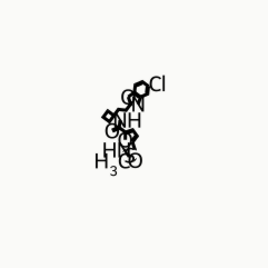 CS(=N)(=O)Cc1ccc(C(=O)NC2(CCc3nc4cc(Cl)ccc4o3)CCC2)o1